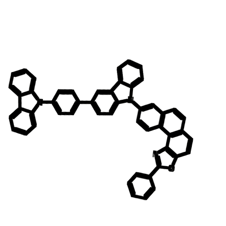 c1ccc(-c2nc3c(ccc4ccc5cc(-n6c7ccccc7c7cc(-c8ccc(-n9c%10ccccc%10c%10ccccc%109)cc8)ccc76)ccc5c43)o2)cc1